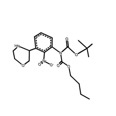 CCCCOC(=O)N(C(=O)OC(C)(C)C)c1cccc(C2COCCN2)c1[N+](=O)[O-]